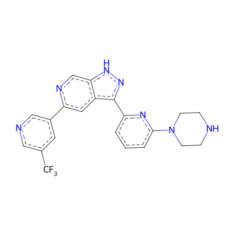 FC(F)(F)c1cncc(-c2cc3c(-c4cccc(N5CCNCC5)n4)n[nH]c3cn2)c1